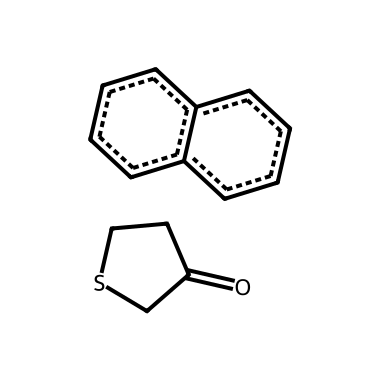 O=C1CCSC1.c1ccc2ccccc2c1